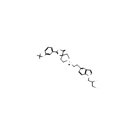 O=C1NC(c2cccc(OC(F)(F)F)c2)=NC12CCN(S(=O)(=O)CCc1ccc3c(ccn3CC(O)CO)c1)CC2